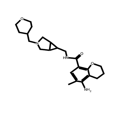 Cc1cc(C(=O)NCC2C3CN(CC4CCOCC4)CC23)c2c(c1N)CCCO2